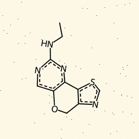 CCNc1ncc2c(n1)-c1scnc1CO2